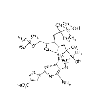 CC(C)(C[C@@H]1C(CO[Si](C)(C)C(C)(C)C)OC(n2cnc3c(N)nc(-n4cc(C(=O)O)cn4)nc32)[C@@H]1CC(C)(C)[Si](C)(C)O)[Si](C)(C)O